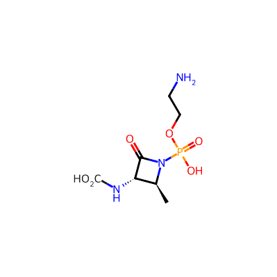 C[C@H]1[C@H](NC(=O)O)C(=O)N1P(=O)(O)OCCN